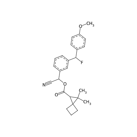 COc1ccc(C(F)c2cccc(C(C#N)OC(=O)C3C(C)(C)C34CCC4)c2)cc1